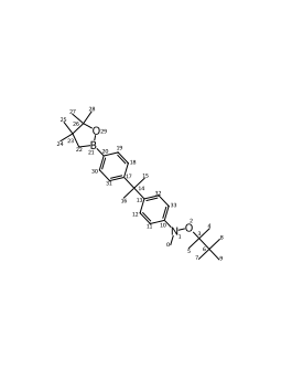 CN(OC(C)(C)C(C)(C)C)c1ccc(C(C)(C)c2ccc(B3CC(C)(C)C(C)(C)O3)cc2)cc1